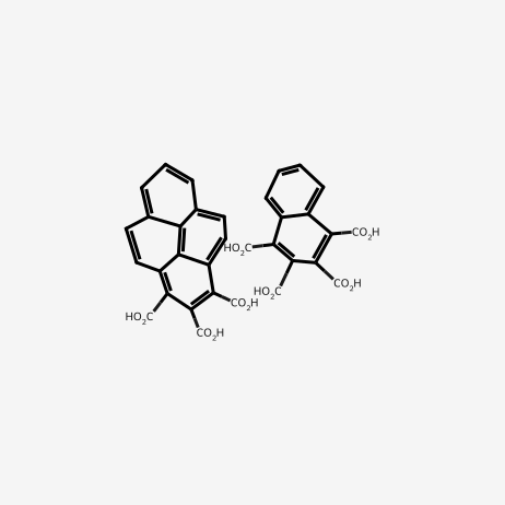 O=C(O)c1c(C(=O)O)c(C(=O)O)c2ccccc2c1C(=O)O.O=C(O)c1c(C(=O)O)c2ccc3cccc4ccc(c1C(=O)O)c2c34